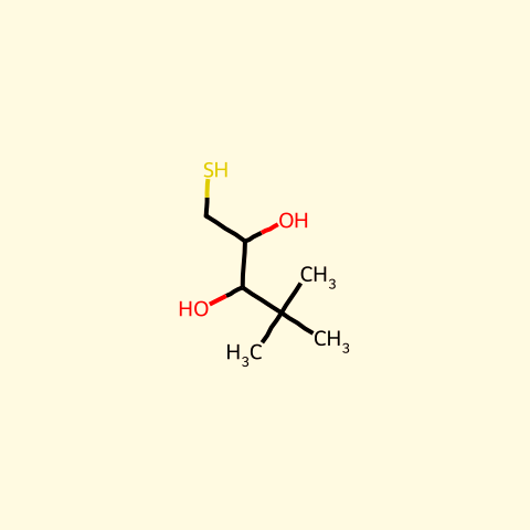 CC(C)(C)C(O)C(O)CS